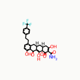 NC(=O)C1=C(O)C[C@@H]2C[C@@H]3Cc4c(CCc5ccc(C(F)(F)F)cc5)ccc(O)c4C(=O)C3=C(O)[C@]2(O)C1=O